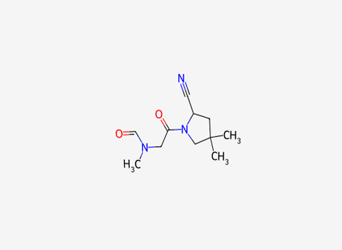 CN(C=O)CC(=O)N1CC(C)(C)CC1C#N